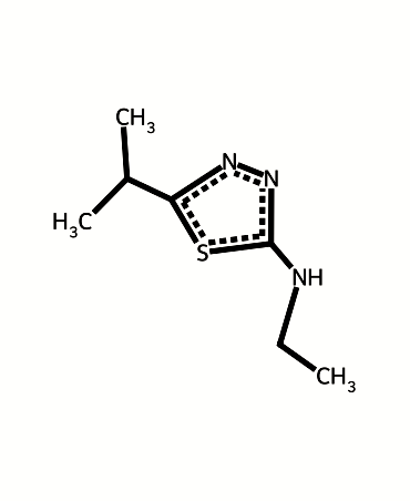 CCNc1nnc(C(C)C)s1